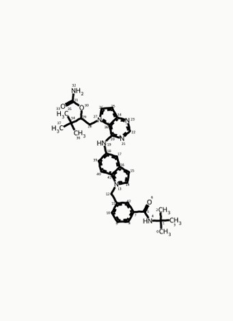 CC(C)(C)NC(=O)c1cccc(Cn2ccc3cc(Nc4ncnc5ccn(CC(OC(N)=O)C(C)(C)C)c45)ccc32)c1